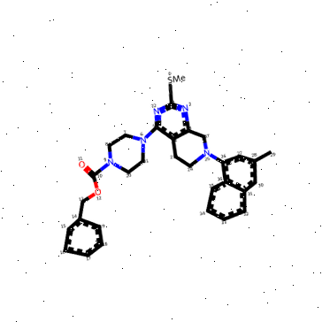 CSc1nc2c(c(N3CCN(C(=O)OCc4ccccc4)CC3)n1)CCN(c1cc(C)cc3ccccc13)C2